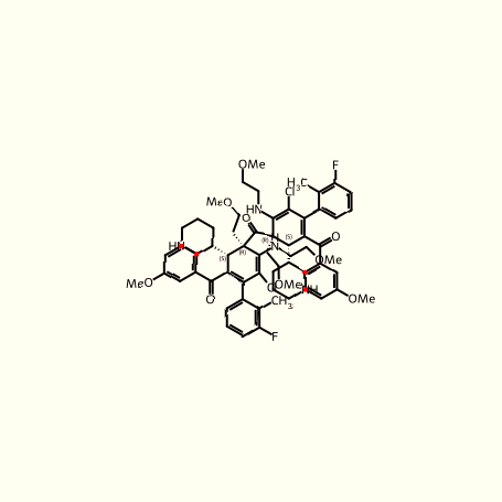 COCCNC1=C(Cl)C(c2cccc(F)c2C)=C(C(=O)c2cccc(OC)c2)[C@H](C2CCCNC2)[C@@]1(CCOC)C(=O)[C@@]1(CCOC)C(NCCOC)=C(Cl)C(c2cccc(F)c2C)=C(C(=O)c2cccc(OC)c2)[C@@H]1C1CCCNC1